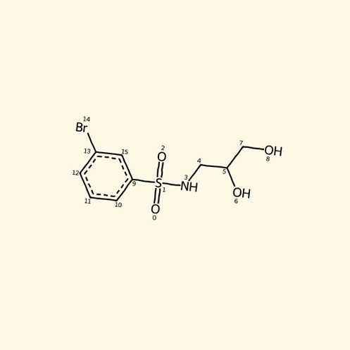 O=S(=O)(NCC(O)CO)c1cccc(Br)c1